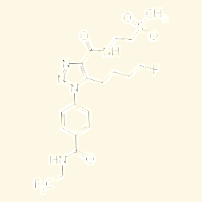 CS(=O)(=O)CCNC(=O)c1nnn(-c2ccc(C(=O)NCC(F)(F)F)cc2)c1CCCCF